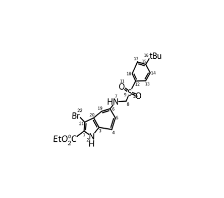 CCOC(=O)c1[nH]c2ccc(NCS(=O)(=O)c3ccc(C(C)(C)C)cc3)cc2c1Br